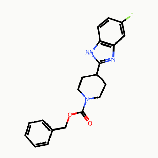 O=C(OCc1ccccc1)N1CCC(c2nc3cc(F)ccc3[nH]2)CC1